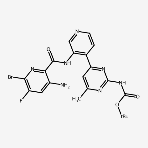 Cc1cc(-c2ccncc2NC(=O)c2nc(Br)c(F)cc2N)nc(NC(=O)OC(C)(C)C)n1